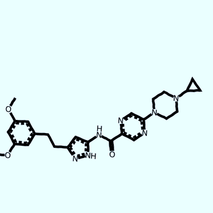 COc1cc(CCc2cc(NC(=O)c3cnc(N4CCN(C5CC5)CC4)cn3)[nH]n2)cc(OC)c1